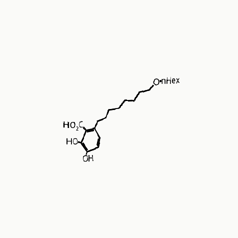 CCCCCCOCCCCCCCCc1ccc(O)c(O)c1C(=O)O